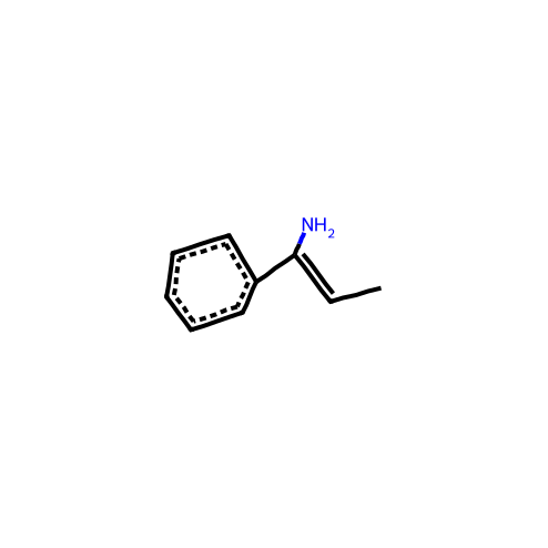 CC=C(N)c1ccccc1